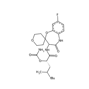 CC(C[C@H](OC(N)=O)C(=O)NC1C(=O)Nc2ccc(F)cc2OC12CCOCC2)C(C)(C)C